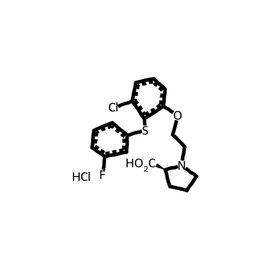 Cl.O=C(O)[C@@H]1CCCN1CCOc1cccc(Cl)c1Sc1cccc(F)c1